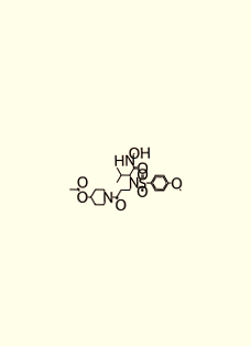 COc1ccc(S(=O)(=O)N(CCC(=O)N2CCC(OC(C)=O)CC2)C(C(=O)NO)C(C)C)cc1